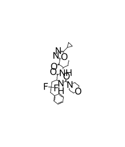 CCC(NC(=O)C(CC(F)(F)Cc1ccccc1)NC(=O)N1CCOCC1)C(=O)c1nnc(C2CC2)o1